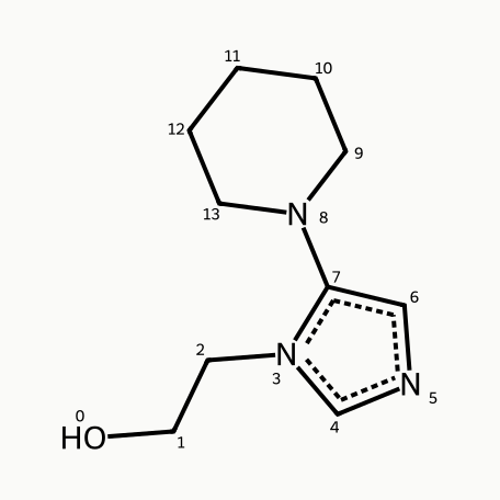 OCCn1cncc1N1CCCCC1